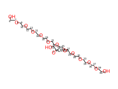 COC(=O)CO.OCCOCCOCCOCCOCCOCCOCCOCCOCCOCCOCCOCCO